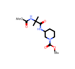 COC(=O)NC(C)(C)C(=O)NC1CCCN(C(=O)OC(C)(C)C)C1